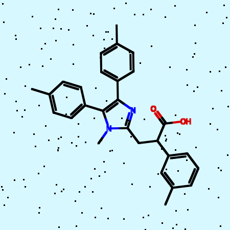 Cc1ccc(-c2nc(CC(C(=O)O)c3cccc(C)c3)n(C)c2-c2ccc(C)cc2)cc1